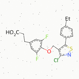 CCc1ccc(-c2snc(Cl)c2COc2c(F)cc(CCC(=O)O)cc2F)cc1